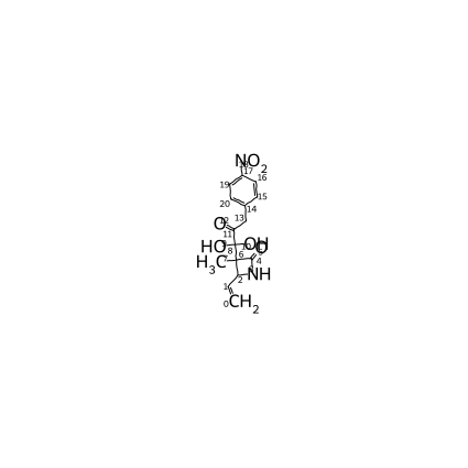 C=CC1NC(=O)C1(C)C(O)(O)C(=O)Cc1ccc([N+](=O)[O-])cc1